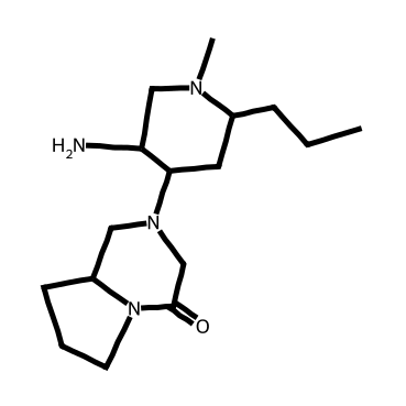 CCCC1CC(N2CC(=O)N3CCCC3C2)C(N)CN1C